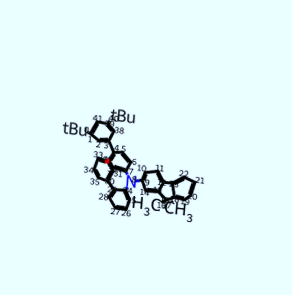 CC(C)(C)c1cc(-c2ccc(N(c3ccc4c(c3)C(C)(C)c3ccccc3-4)c3ccccc3-c3ccccc3)cc2)cc(C(C)(C)C)c1